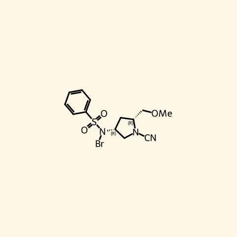 COC[C@H]1C[C@@H](N(Br)S(=O)(=O)c2ccccc2)CN1C#N